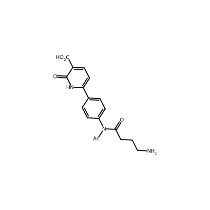 CC(=O)N(C(=O)CCCN)c1ccc(-c2ccc(C(=O)O)c(=O)[nH]2)cc1